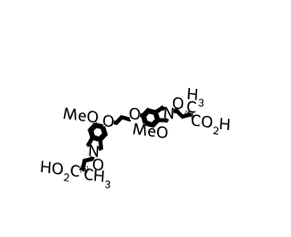 COc1cc2c(cc1OCCCOc1cc3c(cc1OC)CN(C(=O)C[C@H](C)C(=O)O)C3)CN(C(=O)C[C@H](C)C(=O)O)C2